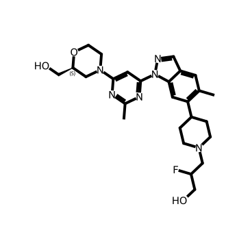 Cc1nc(N2CCO[C@H](CO)C2)cc(-n2ncc3cc(C)c(C4CCN(CC(F)CO)CC4)cc32)n1